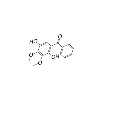 COc1c(O)cc(C(=O)c2ccccc2)c(O)c1OC